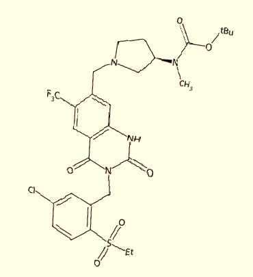 CCS(=O)(=O)c1ccc(Cl)cc1Cn1c(=O)[nH]c2cc(CN3CC[C@@H](N(C)C(=O)OC(C)(C)C)C3)c(C(F)(F)F)cc2c1=O